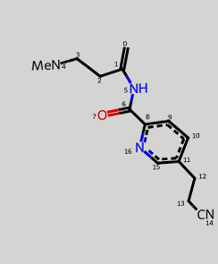 C=C(CCNC)NC(=O)c1ccc(CCC#N)cn1